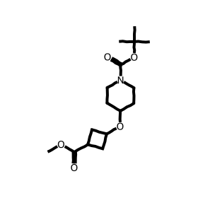 COC(=O)C1CC(OC2CCN(C(=O)OC(C)(C)C)CC2)C1